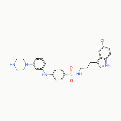 O=S(=O)(NCCCc1c[nH]c2ccc(Cl)cc12)c1ccc(Nc2cccc(N3CCNCC3)c2)cc1